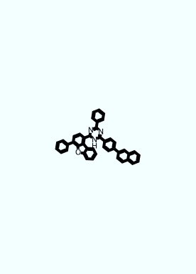 c1ccc(C2=NC(c3ccc(-c4ccccc4)c4oc5ccccc5c34)NC(c3ccc(-c4ccc5ccccc5c4)cc3)=N2)cc1